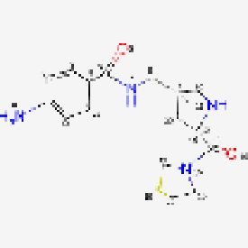 Nc1ccc(C(=O)NC[C@@H]2CN[C@H](C(=O)N3CCSC3)C2)cc1